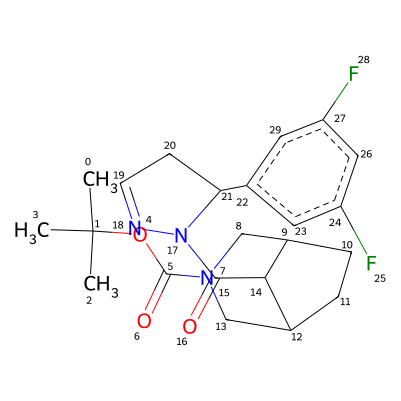 CC(C)(C)OC(=O)N1CC2CCC(C1)C2C(=O)N1N=CCC1c1cc(F)cc(F)c1